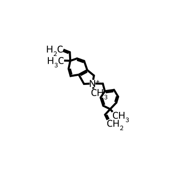 C=CC1(C)C=CC=C(C[N+]2(C)CC3=C(C=CC(C)(C=C)C=C3)C2)C=C1